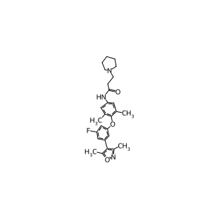 Cc1cc(NC(=O)CCN2CCCCC2)cc(C)c1Oc1cc(F)cc(-c2c(C)noc2C)c1